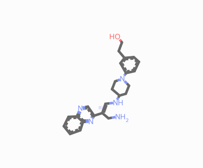 NC/C(=C\NC1CCN(c2cccc(CCO)c2)CC1)c1cnc2ccccc2n1